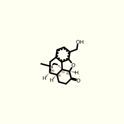 CN1CC[C@]23c4c5ccc(CO)c4O[C@H]2C(=O)CC[C@H]3[C@H]1C5